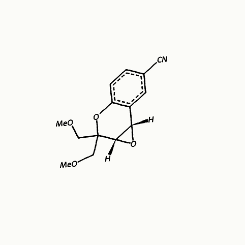 COCC1(COC)Oc2ccc(C#N)cc2[C@@H]2O[C@@H]21